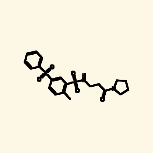 Cc1ccc(S(=O)(=O)c2ccccc2)cc1S(=O)(=O)NCCC(=O)N1CCCC1